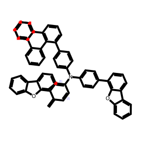 C=C(/C=C\C(=C/C)N(c1ccc(-c2cccc(-c3ccccc3)c2-c2ccccc2-c2ccccc2)cc1)c1ccc(-c2cccc3c2oc2ccccc23)cc1)c1cccc2c1oc1ccccc12